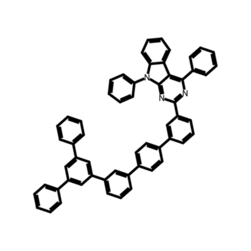 c1ccc(-c2cc(-c3ccccc3)cc(-c3cccc(-c4ccc(-c5cccc(-c6nc(-c7ccccc7)c7c8ccccc8n(-c8ccccc8)c7n6)c5)cc4)c3)c2)cc1